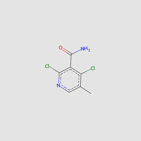 Cc1cnc(Cl)c(C(N)=O)c1Cl